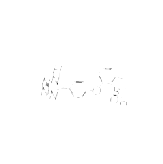 OB1CCc2cccc(Oc3ccc(-c4nnn[nH]4)cc3)c21